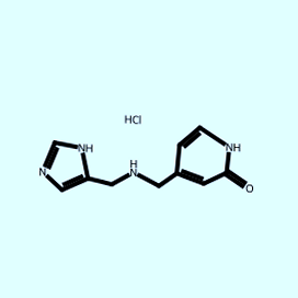 Cl.O=c1cc(CNCc2cnc[nH]2)cc[nH]1